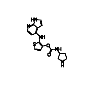 O=C(NC1CCNC1)Oc1ccsc1Nc1ccnc2[nH]ccc12